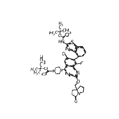 CC(C)(C)OC(=O)Nc1nc2c(-c3c(Cl)cc4c(N5CCN(C(=O)OC(C)(C)C)CC5)nc(OCC56CCCN5C(=O)CC6)nc4c3F)cccc2s1